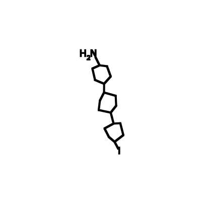 NC1CCC(C2CCC(C3CCC(I)CC3)CC2)CC1